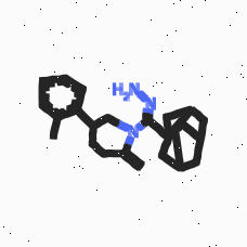 C=C1CCC(c2ccccc2C)CN1/C(=N\N)C12CC3CC(CC(C3)C1)C2